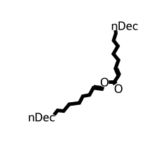 CCCCCCCCCCCCCCCC=CC(=O)OC=CCCCCCCCCCCCCCCCC